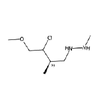 CNNC[C@@H](C)C(Cl)COC